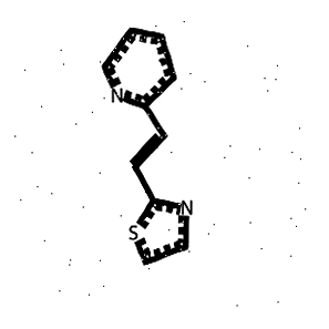 C(=Cc1nccs1)c1ccccn1